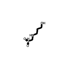 O=[SH](=O)CNC[CH]CO